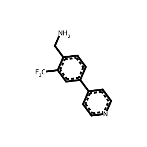 NCc1ccc(-c2ccncc2)cc1C(F)(F)F